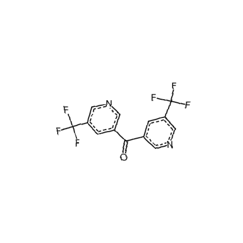 O=C(c1cncc(C(F)(F)F)c1)c1cncc(C(F)(F)F)c1